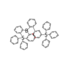 c1ccc(S(c2ccccc2)(c2ccccc2)c2cccc(-c3ccccc3B3c4ccccc4S(c4ccccc4)(c4ccccc4)c4ccccc43)c2)cc1